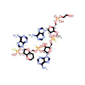 COC1[C@@H](COP(=O)(O)OCCO)O[C@@H](n2cnc3c(N)ncnc32)[C@H]1OP(O)(=S)OC[C@H]1O[C@@H](n2cnc3c(N)ncnc32)[C@@H](OP(O)(=S)OC[C@]23CCCOC2[C@H](OP(=O)(O)S)[C@H](n2cnc4c(N)ncnc42)O3)C1O